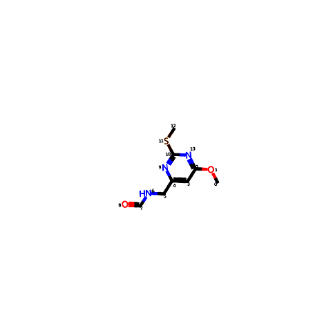 COc1cc(CNC=O)nc(SC)n1